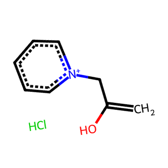 C=C(O)C[n+]1ccccc1.Cl